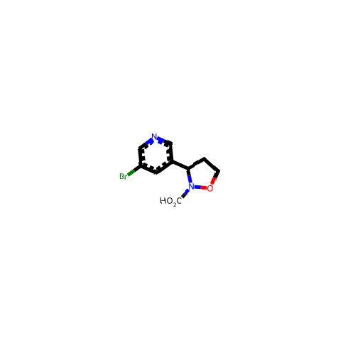 O=C(O)N1OCCC1c1cncc(Br)c1